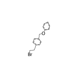 BrCCc1ccc(COc2ccccc2)cc1